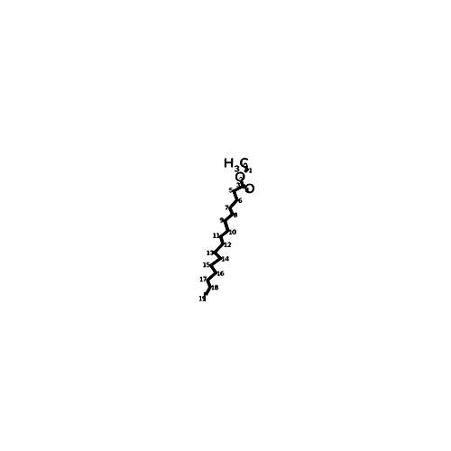 CCOC(=O)CCCCCCCCCCCCCCI